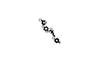 CC(C)(CCCOc1ccc(F)cc1)C(=O)N[C@H]1CC[C@H](Oc2cncc(Cl)c2)CC1